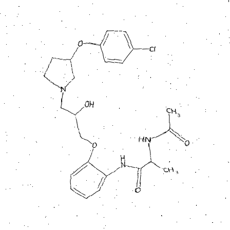 CC(=O)NC(C)C(=O)Nc1ccccc1OCC(O)CN1CCC(Oc2ccc(Cl)cc2)C1